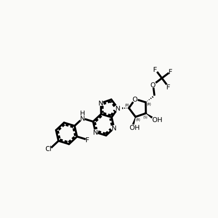 O[C@@H]1[C@H](O)[C@@H](COC(F)(F)F)O[C@H]1n1cnc2c(Nc3ccc(Cl)cc3F)ncnc21